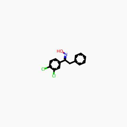 ON=C(Cc1ccccc1)c1ccc(Cl)c(Cl)c1